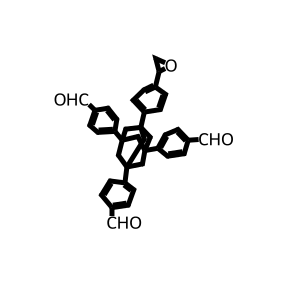 O=Cc1ccc(C23CC4(c5ccc(C=O)cc5)CC(c5ccc(C=O)cc5)(C2)CC(c2ccc(C5CO5)cc2)(C3)C4)cc1